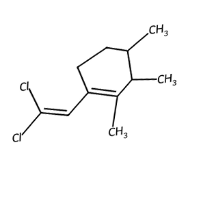 CC1=C(C=C(Cl)Cl)CCC(C)C1C